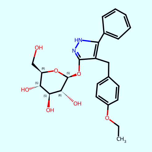 CCOc1ccc(Cc2c(O[C@@H]3O[C@H](CO)[C@@H](O)[C@H](O)[C@H]3O)n[nH]c2-c2ccccc2)cc1